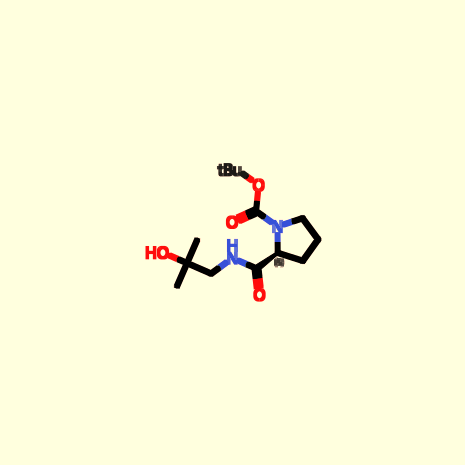 CC(C)(O)CNC(=O)[C@@H]1CCCN1C(=O)OC(C)(C)C